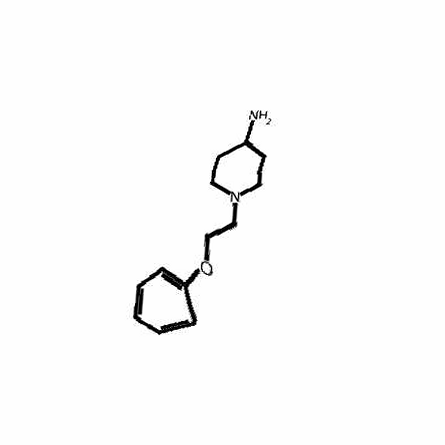 NC1CCN(CCOc2ccccc2)CC1